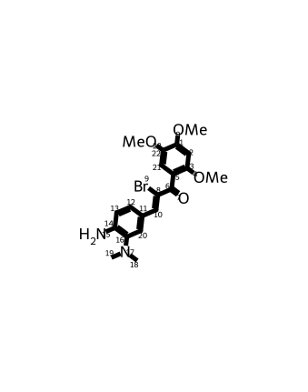 COc1cc(OC)c(C(=O)C(Br)=Cc2ccc(N)c(N(C)C)c2)cc1OC